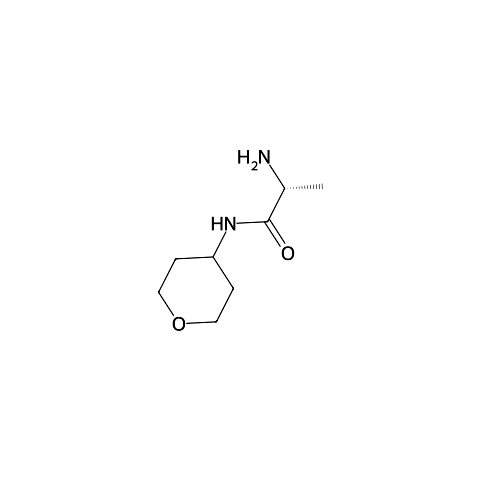 C[C@@H](N)C(=O)NC1CCOCC1